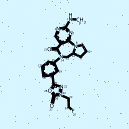 CNc1ncc2c(n1)N1CCCC1CN(c1cccc(-c3nn(CCF)c(=O)o3)c1)C2=O